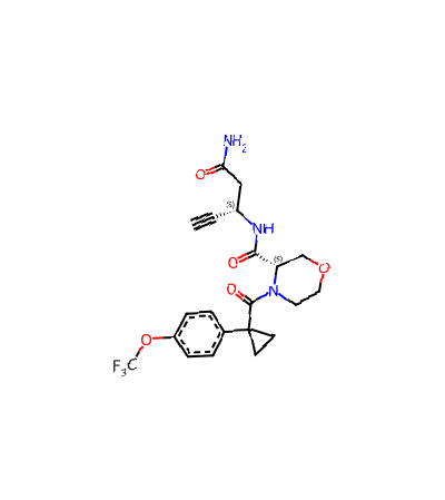 C#C[C@H](CC(N)=O)NC(=O)[C@@H]1COCCN1C(=O)C1(c2ccc(OC(F)(F)F)cc2)CC1